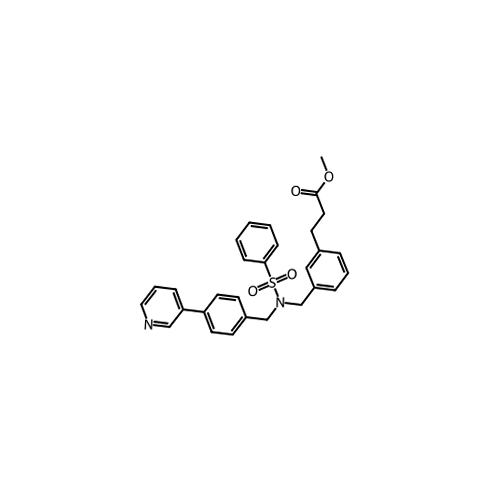 COC(=O)CCc1cccc(CN(Cc2ccc(-c3cccnc3)cc2)S(=O)(=O)c2ccccc2)c1